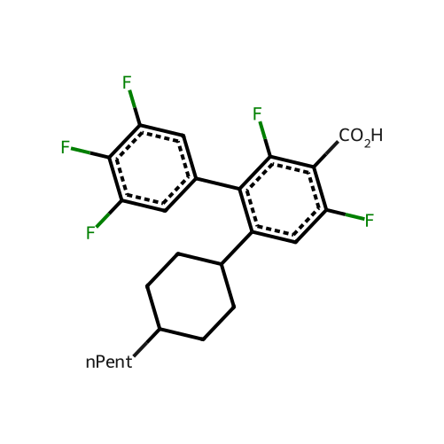 CCCCCC1CCC(c2cc(F)c(C(=O)O)c(F)c2-c2cc(F)c(F)c(F)c2)CC1